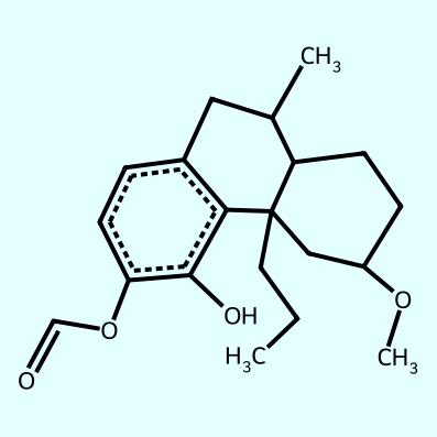 CCCC12CC(OC)CCC1C(C)Cc1ccc(OC=O)c(O)c12